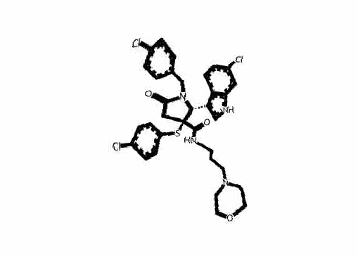 O=C1C[C@@](Sc2ccc(Cl)cc2)(C(=O)NCCCN2CCOCC2)[C@@H](c2c[nH]c3cc(Cl)ccc23)N1Cc1ccc(Cl)cc1